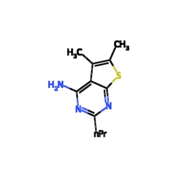 CCCc1nc(N)c2c(C)c(C)sc2n1